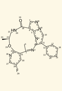 C/C1=N\c2nc3c(cnn3cc2-c2ccccc2)C(=O)NC[C@H](C)Oc2ncc(F)cc21